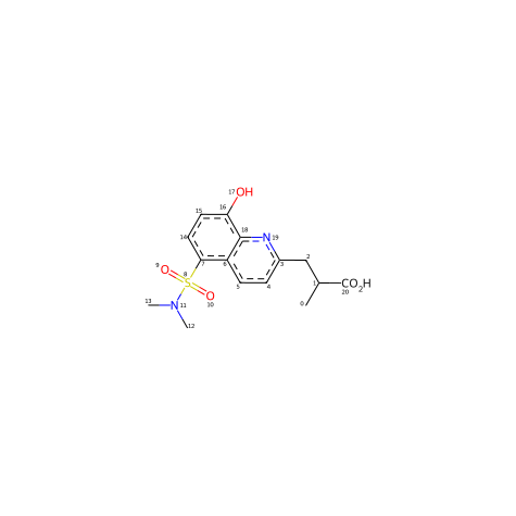 CC(Cc1ccc2c(S(=O)(=O)N(C)C)ccc(O)c2n1)C(=O)O